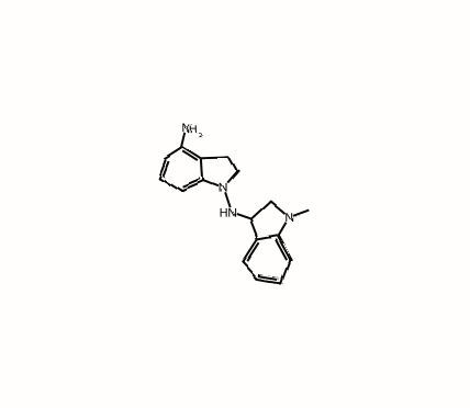 CN1CC(NN2CCc3c(N)cccc32)c2ccccc21